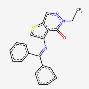 O=c1c2c(N=C(c3ccccc3)c3ccccc3)csc2cnn1CC(F)(F)F